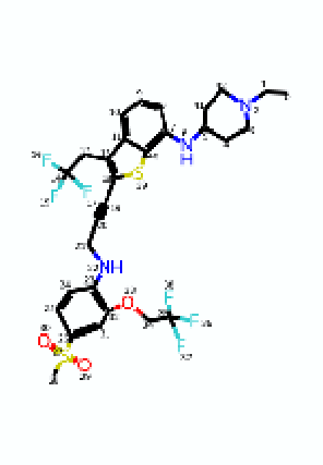 CCN1CCC(Nc2cccc3c(CC(F)(F)F)c(C#CCNc4ccc(S(C)(=O)=O)cc4OCC(F)(F)F)sc23)CC1